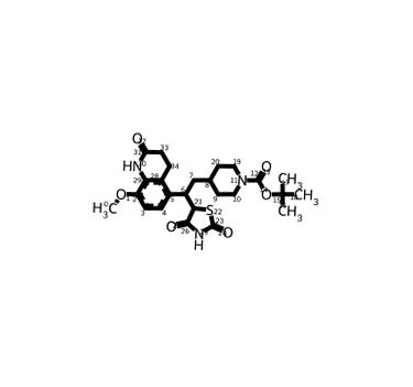 COc1ccc(C(CC2CCN(C(=O)OC(C)(C)C)CC2)C2SC(=O)NC2=O)c2c1NC(=O)CC2